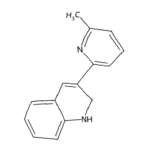 Cc1cccc(C2=Cc3ccccc3NC2)n1